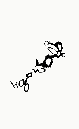 O=C(O)C1CC(OCCOc2ccc(-c3cc(=O)c4cccc(Cl)c4o3)cc2C2CC2)C1